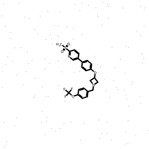 CS(=O)(=O)c1ccc(-c2ccc(OC3CN(Cc4ccc(OC(F)(F)F)cc4)C3)cc2)cn1